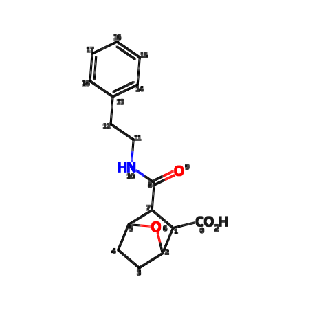 O=C(O)C1C2CCC(O2)C1C(=O)NCCc1ccccc1